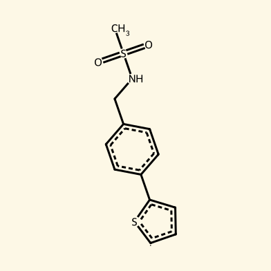 CS(=O)(=O)NCc1ccc(-c2cc[c]s2)cc1